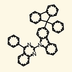 c1ccc(-c2nc(-n3c4ccccc4c4cc(C5(c6ccccc6)c6ccccc6-c6ccccc65)ccc43)nc3ccccc23)cc1